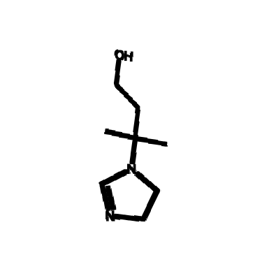 CC(C)(CCO)N1C=NCC1